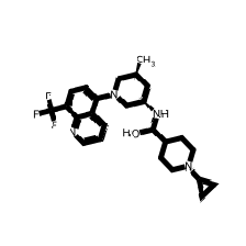 C[C@H]1C[C@@H](NC(O)C2CCN(C3CC3)CC2)CN(c2ccc(C(F)(F)F)c3ncccc23)C1